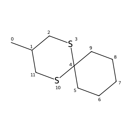 CC1CSC2(CCCCC2)SC1